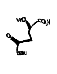 CC(C)(C)C(=O)C[C@H](O)C(=O)O